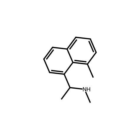 CNC(C)c1cccc2cccc(C)c12